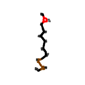 COCCCCCCSSC